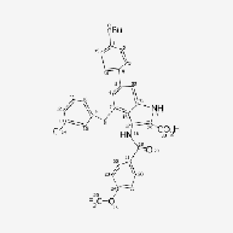 CCCCc1ccc(-c2cc(Cc3cccc(Cl)c3)c3c(NC(=O)c4ccc(OC(F)(F)F)cc4)c(C(=O)O)[nH]c3c2)cc1